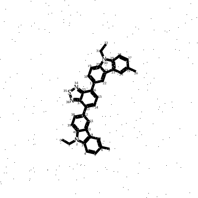 CCn1c2ccc(C)cc2c2cc(-c3ccc(-c4ccc5c(c4)c4cc(C)ccc4n5CC)c4nsnc34)ccc21